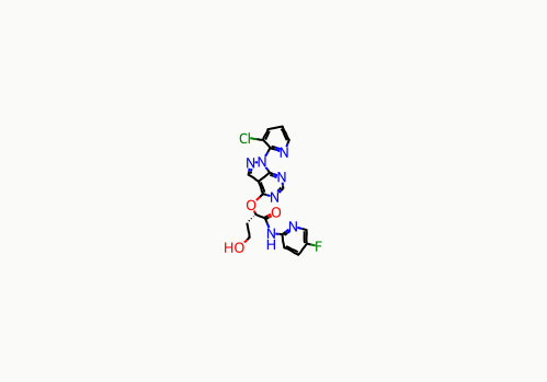 O=C(Nc1ccc(F)cn1)[C@H](CCO)Oc1ncnc2c1cnn2-c1ncccc1Cl